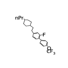 CCCC1CCC(CCc2ccc(-c3ccc(OC(F)(F)F)cc3)c(F)c2)CC1